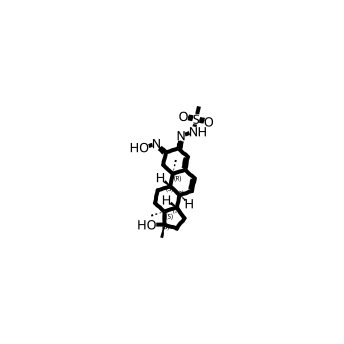 C[C@]12CC(=NO)C(=NNS(C)(=O)=O)C=C1C=C[C@@H]1[C@@H]2CC[C@@]2(C)[C@H]1CC[C@]2(C)O